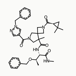 CNC(=O)[C@@H](NC(=O)C1(C)CN(C(=O)c2cnn(Cc3ccccc3)c2)CC12CN(C(=O)[C@H]1CC1(C)C)C2)[C@@H](C)OCc1ccccc1